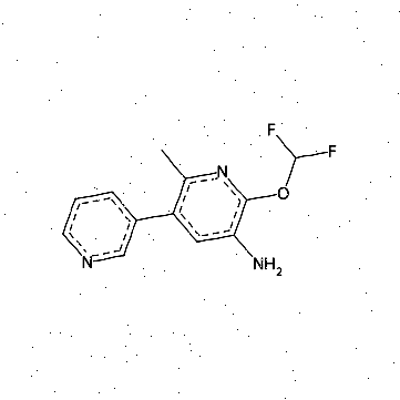 Cc1nc(OC(F)F)c(N)cc1-c1cccnc1